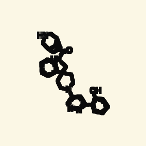 O=C(NCC1(c2ccccc2)CCN(c2cnnc(-c3ccccc3O)c2)CC1)C1C2CCC1CNC2